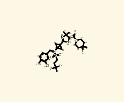 CC(F)(F)CCS(=O)(=O)N(Cc1ccc(Cl)c(Cl)c1)C12CC1(C1=NC(C)(C)[C@H](C(=O)N3CCC(C)(F)CC3)N1)C2